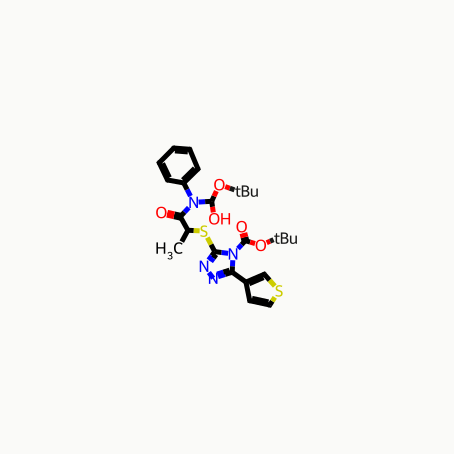 CC(Sc1nnc(-c2ccsc2)n1C(=O)OC(C)(C)C)C(=O)N(c1ccccc1)C(O)OC(C)(C)C